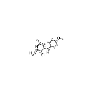 COc1ccc(Nc2nc(C)nc(N)c2Cl)cc1